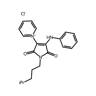 CC(C)CCCN1C(=O)C(Nc2ccccc2)=C([n+]2ccccc2)C1=O.[Cl-]